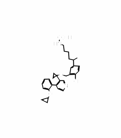 CC(CCCCNC(=O)O)c1ccc(Cl)c(COC2(c3cnccc3-c3ccccc3OC3CC3)CC2)c1